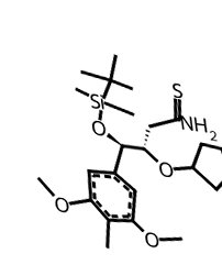 COc1cc([C@@H](O[Si](C)(C)C(C)(C)C)[C@H](CC(N)=S)OC2CCCC2)cc(OC)c1C